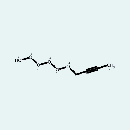 CC#CCOOOOOO